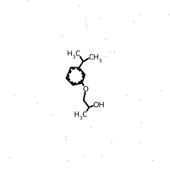 CC(O)COc1cccc(C(C)C)c1